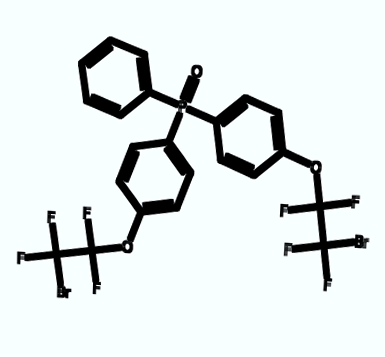 O=P(c1ccccc1)(c1ccc(OC(F)(F)C(F)(F)Br)cc1)c1ccc(OC(F)(F)C(F)(F)Br)cc1